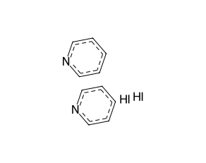 I.I.c1ccncc1.c1ccncc1